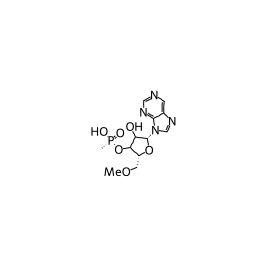 COC[C@H]1O[C@@H](n2cnc3cncnc32)C(O)C1O[P@](C)(=O)O